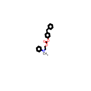 CN(CCOC(=O)Oc1ccc(Cc2ccccc2)cc1)c1ccccc1